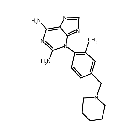 Cc1cc(CN2CCCCC2)ccc1-n1c(N)nc(N)c2ncnc1-2